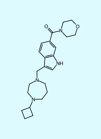 O=C(c1ccc2c(CN3CCCN(C4CCC4)CC3)c[nH]c2c1)N1CCOCC1